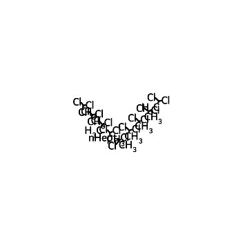 CC(Cl)Cl.CC(Cl)Cl.CC(Cl)Cl.CC(Cl)Cl.CC(Cl)Cl.CC(Cl)Cl.CC(Cl)Cl.CC(Cl)Cl.CCCCCCCC(C)(Cl)Cl